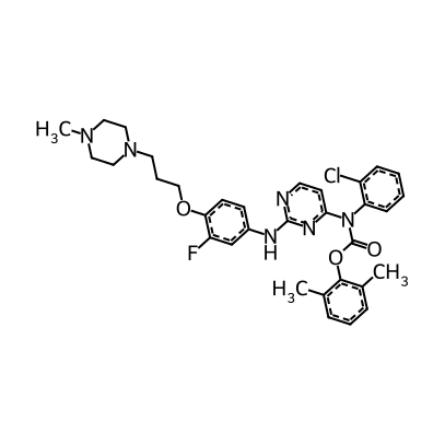 Cc1cccc(C)c1OC(=O)N(c1ccnc(Nc2ccc(OCCCN3CCN(C)CC3)c(F)c2)n1)c1ccccc1Cl